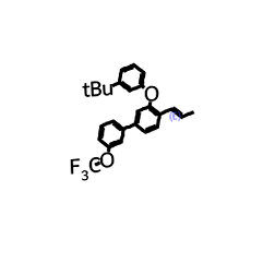 C/C=C/c1ccc(-c2cccc(OC(F)(F)F)c2)cc1Oc1cccc(C(C)(C)C)c1